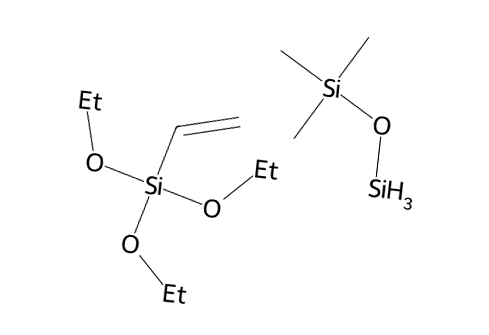 C=C[Si](OCC)(OCC)OCC.C[Si](C)(C)O[SiH3]